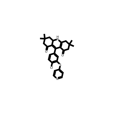 CC1(C)CC(=O)C2=C(C1)NC1CC(C)(C)CC(=O)C1=C2c1ccc(Cl)c(Sc2ccncc2)c1